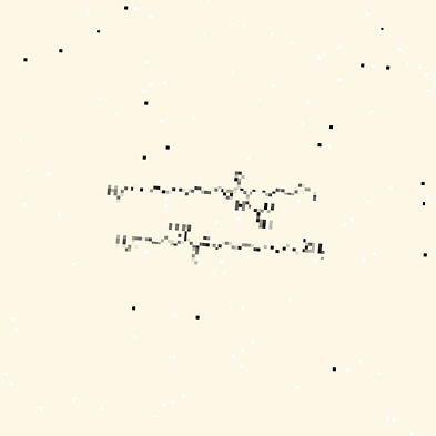 CCCCCCCCCCOC(=O)C(CCCCC)NC(=O)O.CCCCCCCCCCOC(=O)C(N)CCCCC